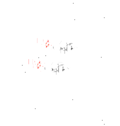 CC(C)CCCC(C)[C@H]1CC[C@H]2[C@@H]3CC=C4C[C@@H](OS(=O)(=O)O)CC[C@]4(C)[C@H]3CC[C@]12C.CC(C)CCCC(C)[C@H]1CC[C@H]2[C@@H]3CC=C4C[C@@H](OS(=O)(=O)O)CC[C@]4(C)[C@H]3CC[C@]12C